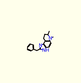 CC1CCc2c(ccc3[nH]c(Cc4ccccc4)nc23)N1C